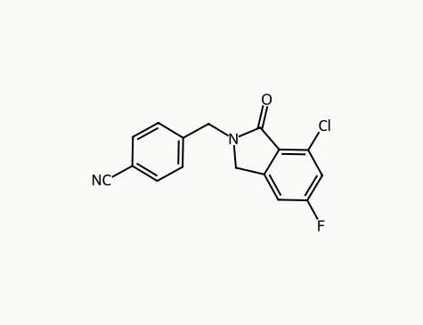 N#Cc1ccc(CN2Cc3cc(F)cc(Cl)c3C2=O)cc1